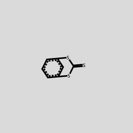 S=C1Sc2cccc(c2)S1